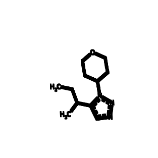 CCC(C)c1cnnn1C1CCOCC1